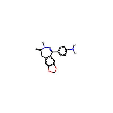 C=C1Cc2cc3c(cc2C(c2ccc(N(C(C)=O)C(C)=O)cc2)=NN1C(C)=O)OCO3